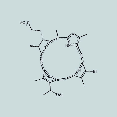 CCC1=C(C)c2cc3[nH]c(cc4nc(c(C)c5cc(C)c(cc1n2)[nH]5)[C@@H](CCC(=O)O)[C@@H]4C)c(C)c3C(C)OC(C)=O